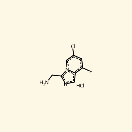 Cl.NCc1ncc2c(F)cc(Cl)cn12